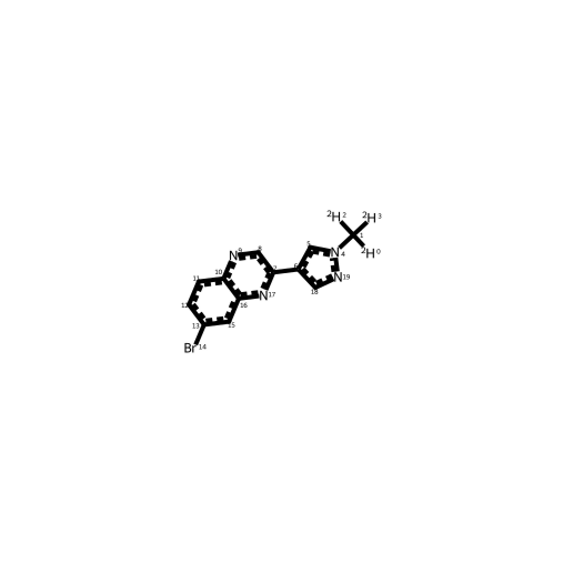 [2H]C([2H])([2H])n1cc(-c2cnc3ccc(Br)cc3n2)cn1